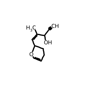 C#CC(O)C(C)=CC1CCC=CO1